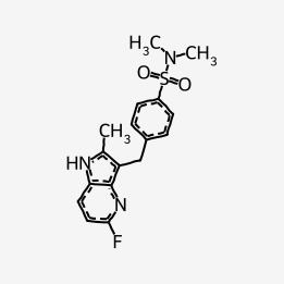 Cc1[nH]c2ccc(F)nc2c1Cc1ccc(S(=O)(=O)N(C)C)cc1